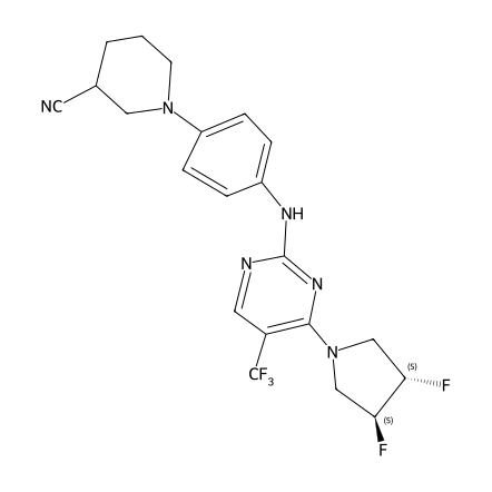 N#CC1CCCN(c2ccc(Nc3ncc(C(F)(F)F)c(N4C[C@H](F)[C@@H](F)C4)n3)cc2)C1